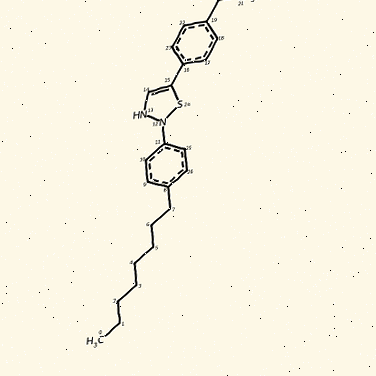 CCCCCCCCc1ccc(N2NC=C(c3ccc(CC)cc3)S2)cc1